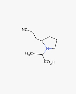 CC(C(=O)O)N1CCCC1CCC#N